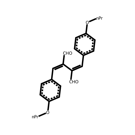 CCCOc1ccc(/C=C(C=O)\C(C=O)=C/c2ccc(OCCC)cc2)cc1